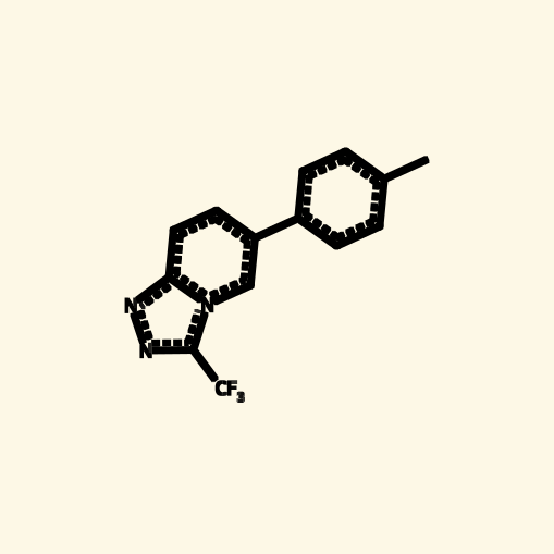 Cc1ccc(-c2ccc3nnc(C(F)(F)F)n3c2)cc1